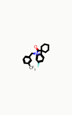 O=C(NCc1cccc(C(F)(F)F)c1)C1(c2ccc(F)cc2)CCCCC1